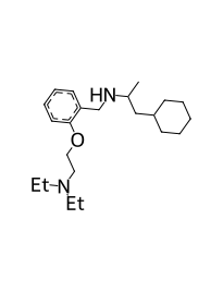 CCN(CC)CCOc1ccccc1CNC(C)CC1CCCCC1